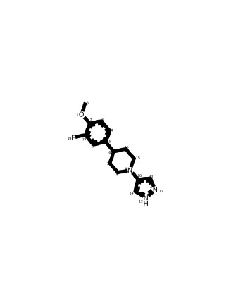 COc1ccc(C2CCN(c3cn[nH]c3)CC2)cc1F